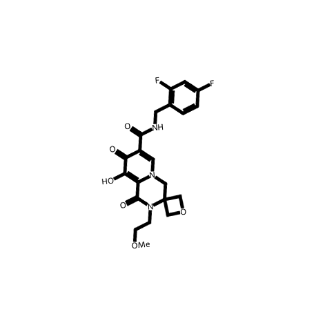 COCCN1C(=O)c2c(O)c(=O)c(C(=O)NCc3ccc(F)cc3F)cn2CC12COC2